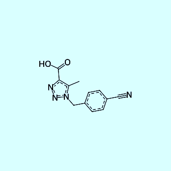 Cc1c(C(=O)O)nnn1Cc1ccc(C#N)cc1